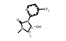 C[C@H]1[C@@H](O)N(c2cc(C(F)(F)F)ccn2)C(=O)N1C